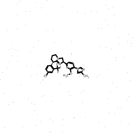 COc1nc(C2CN3CCC[C@H](c4ccc(Cl)cc4C(F)(F)F)C3=N2)ccc1-n1cnc(C)c1